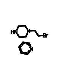 BrCCN1CCNCC1.c1ccncc1